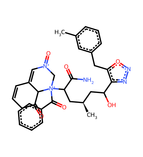 Cc1cccc(Cc2onnc2C(O)C[C@@H](C)CC(C(N)=O)[N+]2(C(=O)c3ccccc3)C[N+](=O)C=C3C=CCC(=O)C32)c1